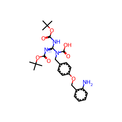 CC(C)(C)OC(=O)/N=C(/NC(=O)OC(C)(C)C)N(Cc1ccc(OCc2ccccc2N)cc1)C(=O)O